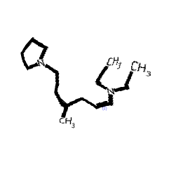 CCN(/C=C\CC(C)CCN1CCCC1)CC